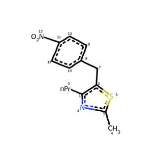 CCCc1nc(C)sc1Cc1ccc([N+](=O)[O-])cc1